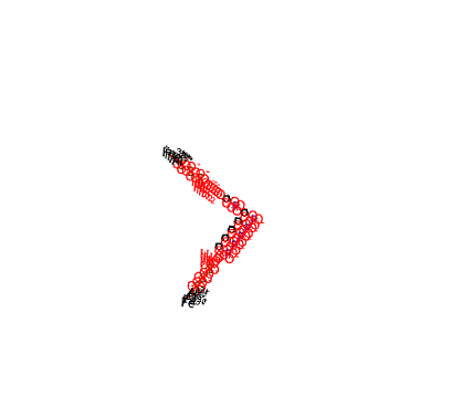 O.O.O.O.O.O=P([O-])([O-])Oc1ccco1.O=P([O-])([O-])Oc1ccco1.O=P([O-])([O-])Oc1ccco1.O=P([O-])([O-])Oc1ccco1.O=P([O-])([O-])Oc1ccco1.O=P([O-])([O-])Oc1ccco1.O=S(=O)([O-])[O-].O=S(=O)([O-])[O-].O=S(=O)([O-])[O-].O=S(=O)([O-])[O-].O=S(=O)([O-])[O-].O=S(=O)([O-])[O-].[Al+3].[Al+3].[Al+3].[Al+3].[Al+3].[Fe+3].[Fe+3].[Fe+3].[Fe+3].[Fe+3].[OH-].[OH-].[OH-].[OH-].[OH-].[OH-]